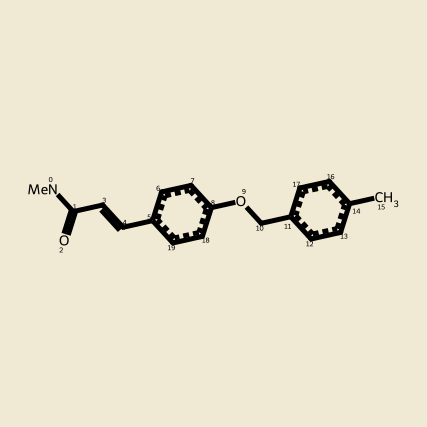 CNC(=O)C=Cc1ccc(OCc2ccc(C)cc2)cc1